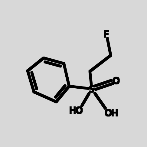 O=S(O)(O)(CCF)c1ccccc1